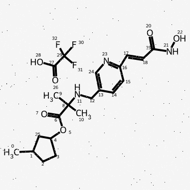 CC1CCC(OC(=O)C(C)(C)NCc2ccc(/C=C/C(=O)NO)nc2)C1.O=C(O)C(F)(F)F